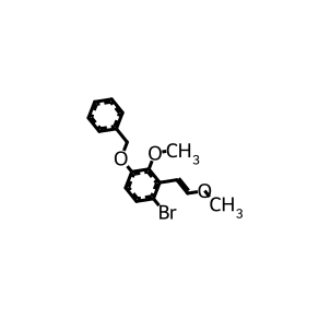 COC=Cc1c(Br)ccc(OCc2ccccc2)c1OC